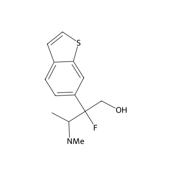 CNC(C)C(F)(CO)c1ccc2ccsc2c1